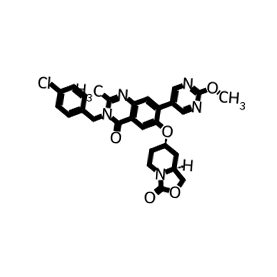 COc1ncc(-c2cc3nc(C)n(Cc4ccc(Cl)cc4)c(=O)c3cc2O[C@H]2CCN3C(=O)OC[C@@H]3C2)cn1